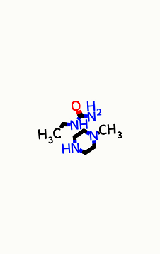 CCNC(N)=O.CN1CCNCC1